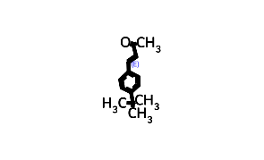 CC(=O)/C=C/c1ccc(C(C)(C)C)cc1